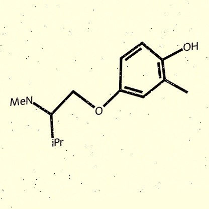 CNC(COc1ccc(O)c(C)c1)C(C)C